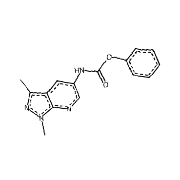 Cc1nn(C)c2ncc(NC(=O)Oc3ccccc3)cc12